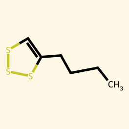 CCCCC1=CSSS1